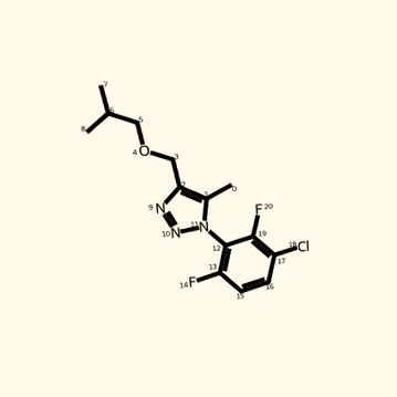 Cc1c(COCC(C)C)nnn1-c1c(F)ccc(Cl)c1F